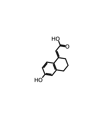 O=C(O)C=C1CCCc2cc(O)ccc21